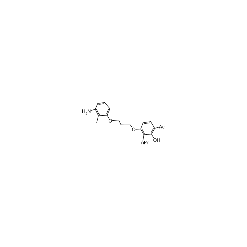 CCCc1c(OCCCOc2cccc(N)c2C)ccc(C(C)=O)c1O